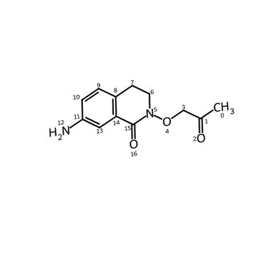 CC(=O)CON1CCc2ccc(N)cc2C1=O